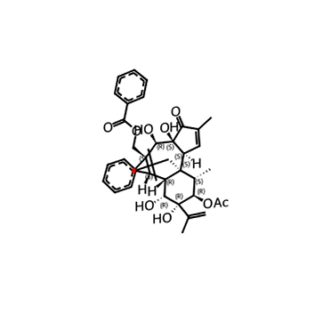 C=C(C)[C@@]1(O)[C@H](O)[C@@H]2[C@@H]3C[C@]3(COC(=O)c3ccccc3)[C@@H](O)[C@]3(O)C(=O)C(C)=C[C@H]3[C@@]2(CC(C)(C)c2ccccc2)[C@H](C)[C@H]1OC(C)=O